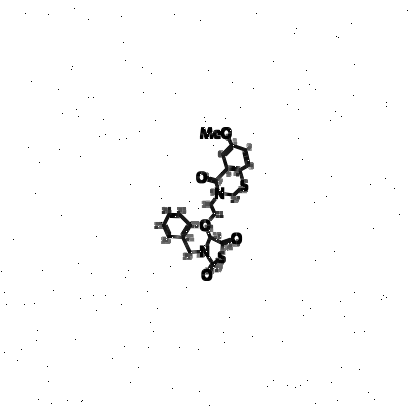 COc1ccc2c(c1)C(=O)N(CCOC1C(=O)SC(=O)N1Cc1ccccc1)CS2